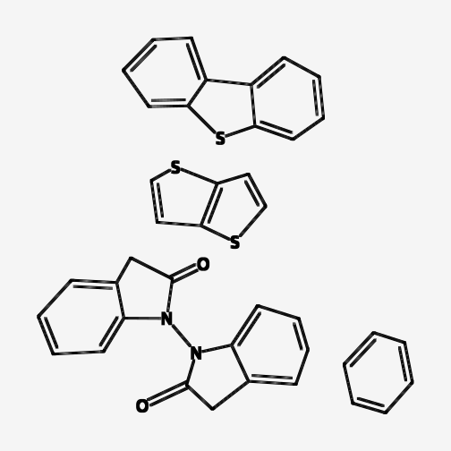 O=C1Cc2ccccc2N1N1C(=O)Cc2ccccc21.c1cc2sccc2s1.c1ccc2c(c1)sc1ccccc12.c1ccccc1